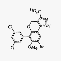 COc1c(Br)cc2c(c1-c1cc(Cl)cc(Cl)c1)OCc1c(C(=O)O)n[nH]c1-2